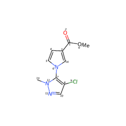 COC(=O)c1ccn(-c2c(Cl)cnn2C)c1